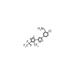 Cn1nc(C(F)(F)C(F)(F)F)c(C(F)(F)F)c1-c1cc(-c2ccc(Cl)c(CN)c2)on1